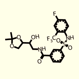 CC1(C)OCC(C(O)CNC(=O)c2cccc(S(=O)(=O)Nc3ccc(F)cc3C(F)(F)F)c2)O1